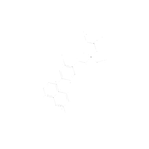 CC(C)CC(C)(COc1cnc(-c2ccnc3cc(C(F)(F)F)ccc23)cc1Cl)NC(=O)OC(C)(C)C